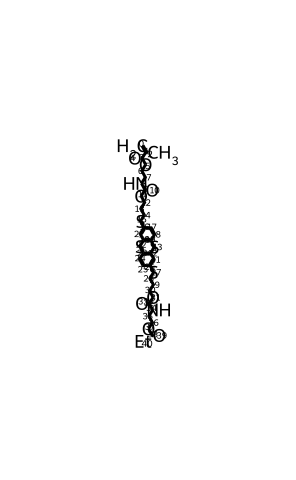 C=C(C)C(=O)OCCNC(=O)OCCCSc1ccc2c(c1)Sc1ccc(SCCCOC(=O)NCCOC(=O)CC)cc1S2